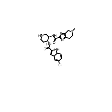 CN1CCc2nc(C(=O)N[C@@H]3CNCC[C@@H]3NC(=O)C3=CC4C=C(Cl)C=CC4N3)sc2C1